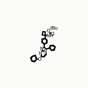 CC(C)(C)OC(=O)NC1(c2ccc(C3N=C4N=C(Oc5ccccc5)C=CN4C3c3ccccc3)cc2)CCC1